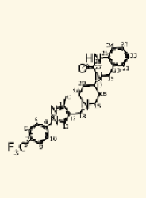 Cc1nn(-c2ccc(C(F)(F)F)cc2)cc1CN1CCC(N2Cc3ccccc3NC2=O)CC1